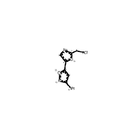 CC(C)c1cc(-c2cnc(CCl)o2)on1